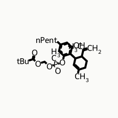 C=C(C)C1CCC(C)=CC1c1c(O)cc(CCCCC)cc1OP(C)(=O)OCOC(=O)C(C)(C)C